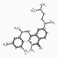 C[C@@H](Nc1nn(C)c(=O)c2ccc(N(C)CCN(C)C)cc12)c1cc([N+](=O)[O-])cc(C(F)(F)F)c1